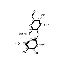 CO[C@@H]1O[C@H](CO)[C@H](O)[C@H](O)[C@H]1O[C@@H]1O[C@@H](C)[C@H](O)[C@@H](O)[C@H]1O